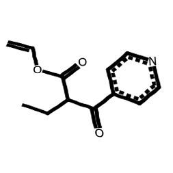 C=COC(=O)C(CC)C(=O)c1ccncc1